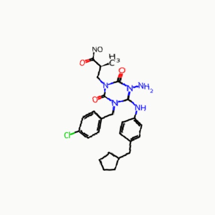 C[C@@H](CN1C(=O)N(N)C(Nc2ccc(CC3CCCC3)cc2)N(Cc2ccc(Cl)cc2)C1=O)C(=O)N=O